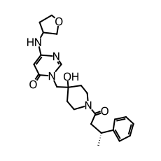 C[C@H](CC(=O)N1CCC(O)(Cn2cnc(NC3CCOC3)cc2=O)CC1)c1ccccc1